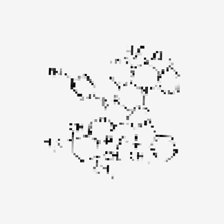 CC(C)(C)c1ccc(N2B3c4cccc5c4N(c4ccccc4C5(C)C)c4cc5c(c(c43)-c3cc4c(cc32)C(C)(C)CCC4(C)C)C(C)(C)c2ccccc2-5)cc1